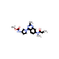 C=CC(=O)N(C)c1ccc2c(N3CC[C@@H](NC(=O)OC(C)(C)C)C3)nc(C)nc2c1